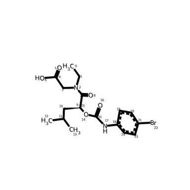 CCN(CC(=O)O)C(=O)[C@H](CC(C)C)OC(=O)Nc1ccc(Br)cc1